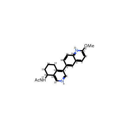 COc1ccc2cc(-c3cncc4c3CCCC4NC(C)=O)ccc2n1